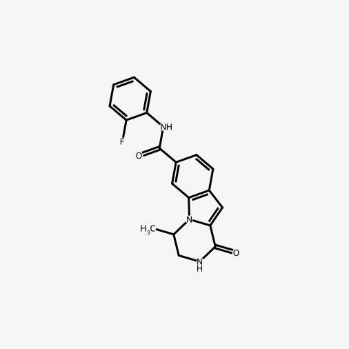 CC1CNC(=O)c2cc3ccc(C(=O)Nc4ccccc4F)cc3n21